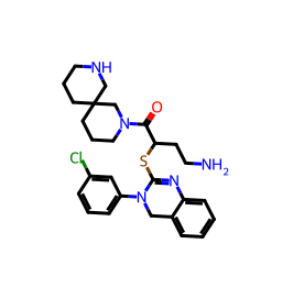 NCCC(SC1=Nc2ccccc2CN1c1cccc(Cl)c1)C(=O)N1CCCC2(CCCNC2)C1